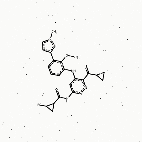 COc1c(Nc2cc(NC(=O)C3CC3F)nnc2C(=O)C2CC2)cccc1-c1ncn(C)n1